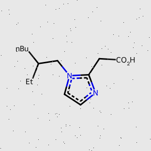 CCCCC(CC)Cn1ccnc1CC(=O)O